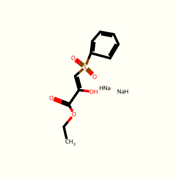 CCOC(=O)C(O)=CS(=O)(=O)c1ccccc1.[NaH].[NaH]